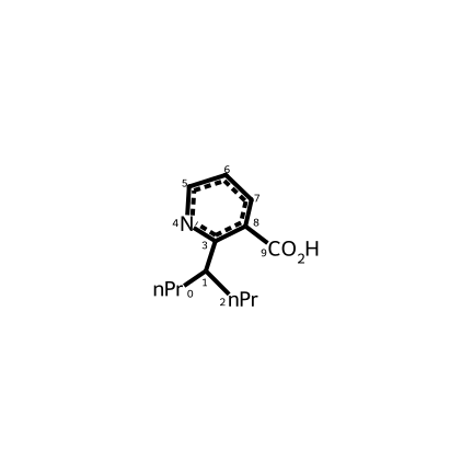 CCCC(CCC)c1ncccc1C(=O)O